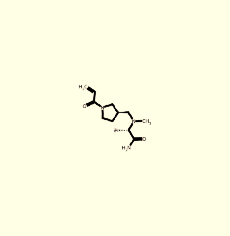 C=CC(=O)N1CC[C@H](CN(C)[C@H](C(N)=O)C(C)C)C1